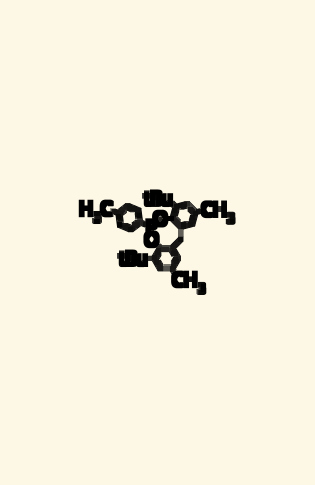 Cc1ccc(P2Oc3c(cc(C)cc3C(C)(C)C)Cc3cc(C)cc(C(C)(C)C)c3O2)cc1